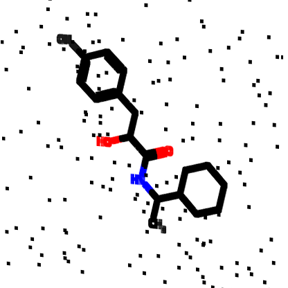 CC(NC(=O)C(O)Cc1ccc(N=O)cc1)C1CCCCC1